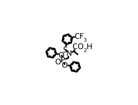 CC(C(=O)O)N(CP(=O)(Oc1ccccc1)Oc1ccccc1)Sc1cccc(C(F)(F)F)c1